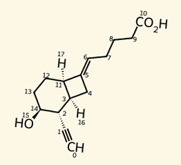 C#C[C@H]1[C@@H]2CC(=CCCCC(=O)O)[C@@H]2CC[C@@H]1O